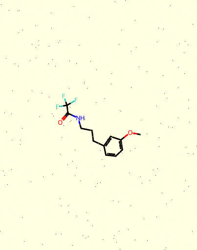 COc1cccc(CCCNC(=O)C(F)(F)F)c1